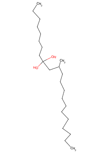 CCCCCCCCCCCC(C)CC(O)(O)CCCCCCCC